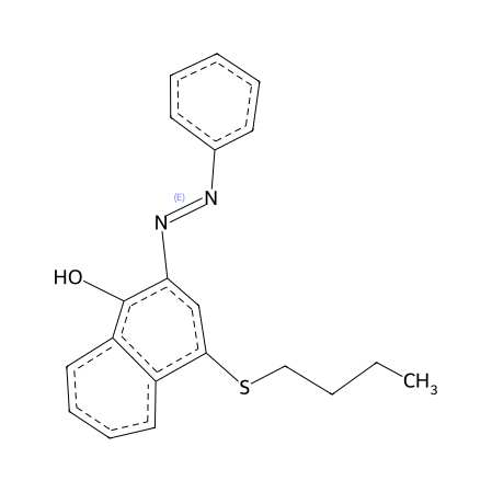 CCCCSc1cc(/N=N/c2ccccc2)c(O)c2ccccc12